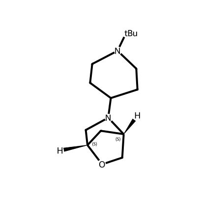 CC(C)(C)N1CCC(N2C[C@@H]3C[C@H]2CO3)CC1